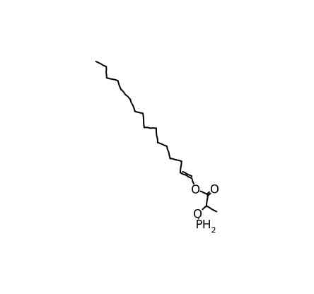 CCCCCCCCCCCCCCC=COC(=O)C(C)OP